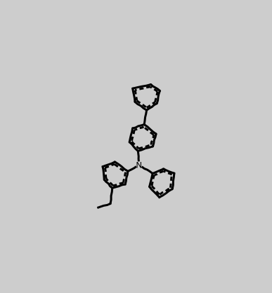 CCc1cccc(N(c2ccccc2)c2ccc(-c3ccccc3)cc2)c1